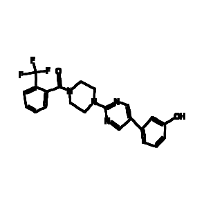 O=C(c1ccccc1C(F)(F)F)N1CCN(c2ncc(-c3cccc(O)c3)cn2)CC1